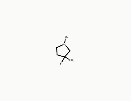 CC(C)N1CCC(C)(F)C1